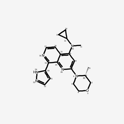 C[C@@H]1COCCN1c1cc(N(C)C2CC2)c2ccnc(-c3ccn[nH]3)c2n1